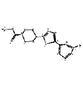 COC(=O)[C@H]1CC[C@H](c2ncc(-c3cccc(Br)n3)s2)CC1